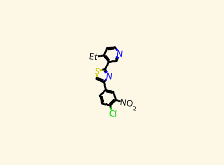 CCc1ccncc1-c1nc(-c2ccc(Cl)c([N+](=O)[O-])c2)cs1